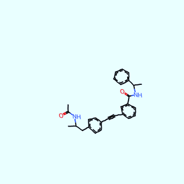 CC(=O)NC(C)Cc1ccc(C#Cc2cccc(C(=O)NC(C)c3ccccc3)c2)cc1